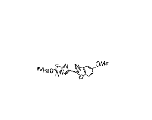 COc1ccc2oc(-c3cn4nc(OC)sc4n3)nc2c1